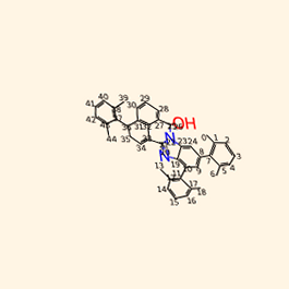 Cc1cccc(C)c1-c1cc(-c2c(C)cccc2C)c2nc3n(c2c1)C(O)c1cccc2c1C3=CCC2c1c(C)cccc1C